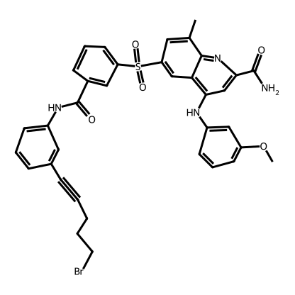 COc1cccc(Nc2cc(C(N)=O)nc3c(C)cc(S(=O)(=O)c4cccc(C(=O)Nc5cccc(C#CCCCBr)c5)c4)cc23)c1